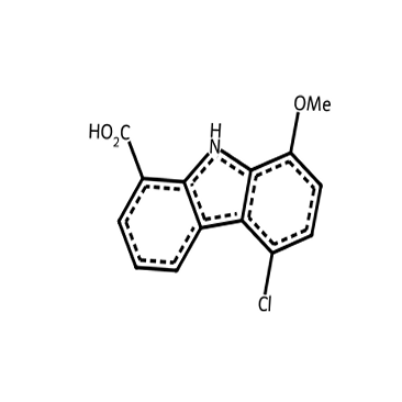 COc1ccc(Cl)c2c1[nH]c1c(C(=O)O)cccc12